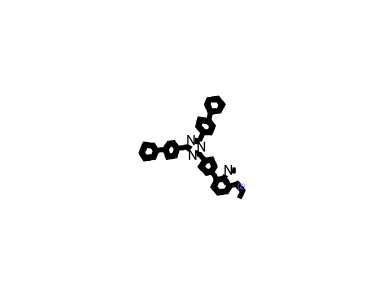 C=Nc1c(/C=C\C)cccc1-c1ccc(-c2nc(-c3ccc(-c4ccccc4)cc3)nc(-c3ccc(-c4ccccc4)cc3)n2)cc1